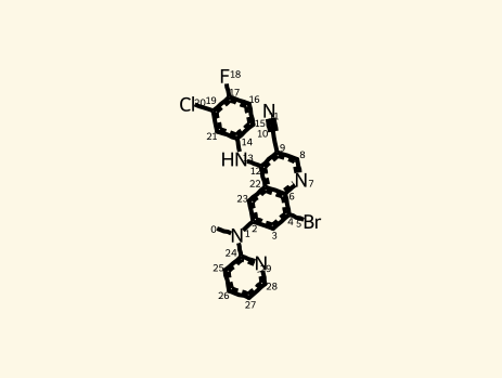 CN(c1cc(Br)c2ncc(C#N)c(Nc3ccc(F)c(Cl)c3)c2c1)c1ccccn1